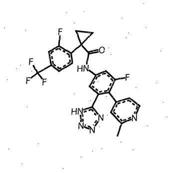 Cc1cc(-c2c(F)cc(NC(=O)C3(c4ccc(C(F)(F)F)cc4F)CC3)cc2-c2nnn[nH]2)ccn1